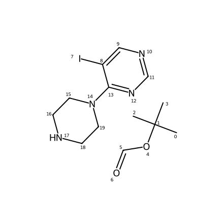 CC(C)(C)OC=O.Ic1cncnc1N1CCNCC1